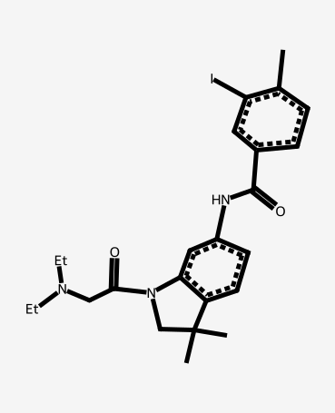 CCN(CC)CC(=O)N1CC(C)(C)c2ccc(NC(=O)c3ccc(C)c(I)c3)cc21